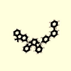 CC1(C)c2ccccc2-c2ccc(-n3c4ccccc4c4c5c6ccccc6n(-c6ccc(-c7cccc(-c8ccccc8)c7)cc6)c5ccc43)cc21